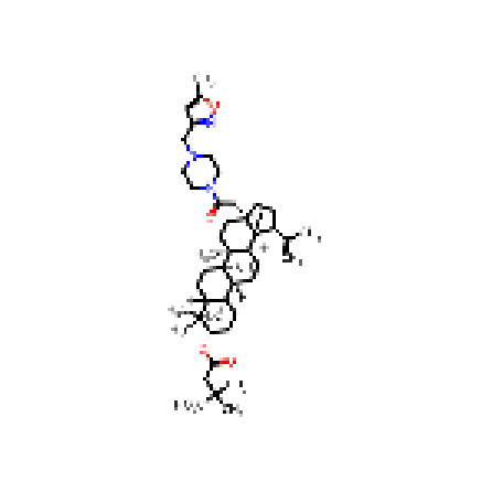 C=C(C)[C@@H]1CC[C@]2(CC(=O)N3CCN(Cc4cc(C)on4)CC3)CC[C@]3(C)[C@H](CC[C@@H]4[C@@]5(C)CC[C@H](OC(=O)CC(C)(C)C(=O)O)C(C)(C)[C@@H]5CC[C@]43C)[C@@H]12